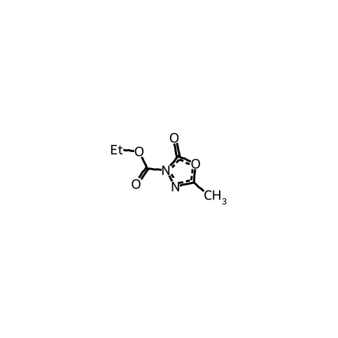 CCOC(=O)n1nc(C)oc1=O